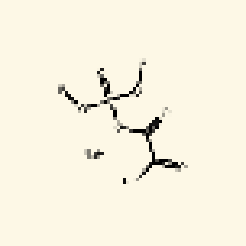 O=C(O)C(=O)OP(=O)(OF)OF.[NaH]